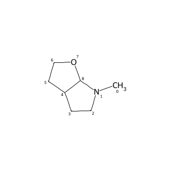 CN1CCC2CCOC21